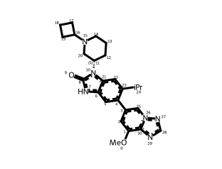 COc1cc(-c2cc3[nH]c(=O)n([C@H]4CCCN(C5CCC5)C4)c3cc2C(C)C)cn2ncnc12